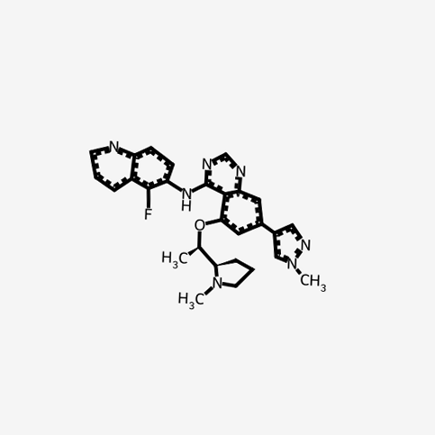 C[C@@H](Oc1cc(-c2cnn(C)c2)cc2ncnc(Nc3ccc4ncccc4c3F)c12)[C@H]1CCCN1C